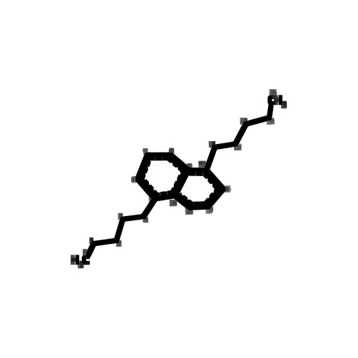 CCCCCc1cccc2c(CCCCC)cc[c]c12